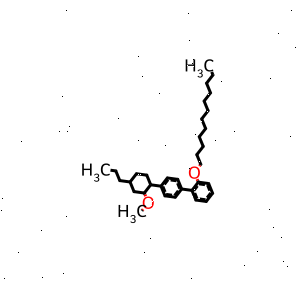 CCCCCCCCCCCCOc1ccccc1-c1ccc(C2CCC(CCC)CC2OC)cc1